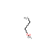 CCC/C=C\CCCC/C=C\CCCOC(C)=O